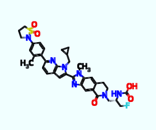 Cc1cc(N2CCCS2(=O)=O)ccc1-c1ccc2cc(-c3nc4cc5c(cc4n3C)CCN(C[C@@H](CF)NC(=O)O)C5=O)n(CC3CC3)c2n1